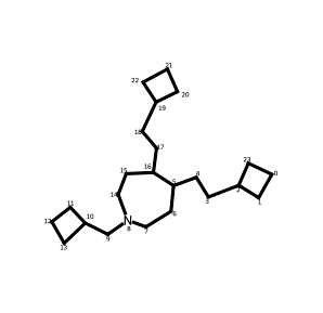 C1CC(CCC2CCN(CC3CCC3)CCC2CCC2CCC2)C1